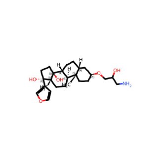 C[C@]12CC[C@H](OCC(O)CN)C[C@H]1CC[C@@H]1[C@@H]2CC[C@]2(C)[C@@](O)(c3ccoc3)CC[C@]12O